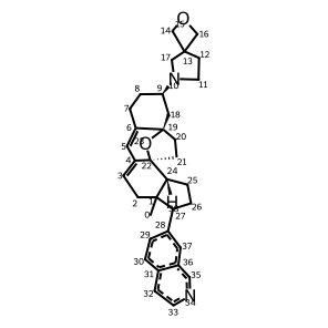 CC12CC=C3C=C4CC[C@@H](N5CCC6(COC6)C5)C[C@]45CC[C@]3(O5)[C@@H]1CCC2c1ccc2ccncc2c1